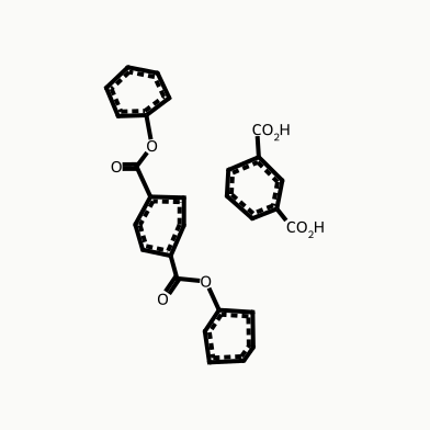 O=C(O)c1cccc(C(=O)O)c1.O=C(Oc1ccccc1)c1ccc(C(=O)Oc2ccccc2)cc1